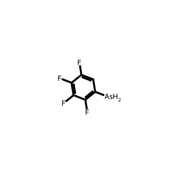 Fc1cc([AsH2])c(F)c(F)c1F